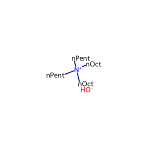 CCCCCCCC[N+](CCCCC)(CCCCC)CCCCCCCC.[OH-]